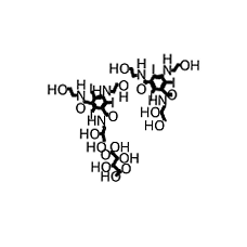 O=C(NCCO)c1c(I)c(NCCO)c(I)c(C(=O)NCC(O)CO)c1I.O=C(NCCO)c1c(I)c(NCCO)c(I)c(C(=O)NCC(O)CO)c1I.O=C(O)C(O)C(O)C(=O)O